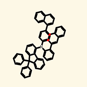 c1ccc(C2(c3ccccc3)c3ccccc3-c3c(N(c4ccc(-c5cccc6ccccc56)cc4)c4ccccc4-c4ccc5ccccc5c4)cccc32)cc1